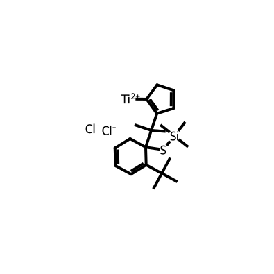 CC(C)(C)C1=CC=CCC1(S[Si](C)(C)C)C(C)(C)C1=[C]([Ti+2])CC=C1.[Cl-].[Cl-]